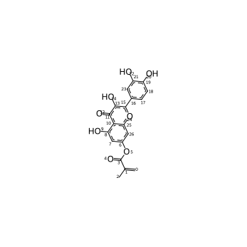 C=C(C)C(=O)Oc1cc(O)c2c(=O)c(O)c(-c3ccc(O)c(O)c3)oc2c1